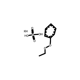 CCOOc1ccccc1.O=S(=O)(O)O.[KH]